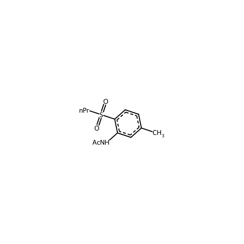 CCCS(=O)(=O)c1ccc(C)cc1NC(C)=O